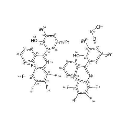 CC(C)c1cc(C(=Nc2c(F)c(F)c(F)c(F)c2F)c2ccccc2)c(O)c(C(C)C)c1.CC(C)c1cc(C(=Nc2c(F)c(F)c(F)c(F)c2F)c2ccccc2)c(O)c(C(C)C)c1.[Cl][Ti][Cl]